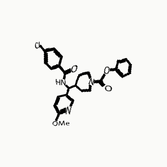 COc1ccc(C(NC(=O)c2ccc(Cl)cc2)C2CCN(C(=O)Oc3ccccc3)CC2)cn1